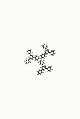 c1ccc(-c2cc(-c3ccc(N(c4ccc(-c5cc(-c6ccccc6)nc(-c6ccccc6)n5)cc4)c4ccc(-c5cc(-c6ccccc6)nc(-c6ccccc6)n5)cc4)cc3)nc(-c3ccccc3)n2)cc1